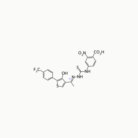 C/C(=N\NC(=S)Nc1ccc(C(=O)O)c([N+](=O)[O-])c1)c1csc(-c2ccc(C(F)(F)F)cc2)c1O